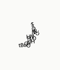 Cc1cccc2c(C(C)(C)NC(=O)[C@H]3[C@@H]4CN(C(=O)OC(C)(C)C)C[C@@H]43)nn(COCCS(C)(C)C)c12